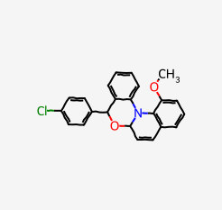 COc1cccc2c1N1c3ccccc3C(c3ccc(Cl)cc3)OC1C=C2